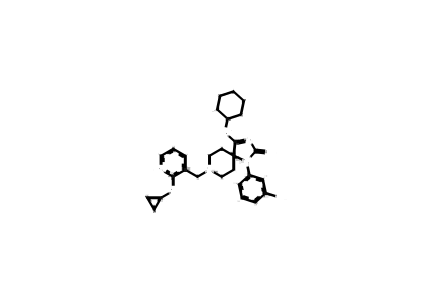 O=C1N=C(NC2CCCCC2)C2(CCN(Cc3cccnc3NC3CC3)CC2)N1c1cccc(F)c1